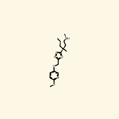 CCCC(C)(CCNC)c1nnc(COc2ccc(OC)nc2)o1